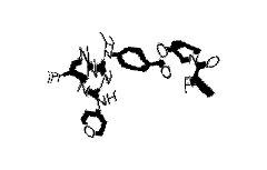 C=C(F)C(=O)N1CCC(OC(=O)C2CCC(Nc3nc(NC4CCOCC4)nc4c(C(C)C)cnn34)CC2)C1